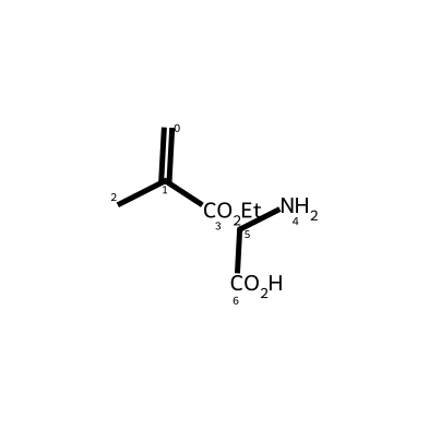 C=C(C)C(=O)OCC.NCC(=O)O